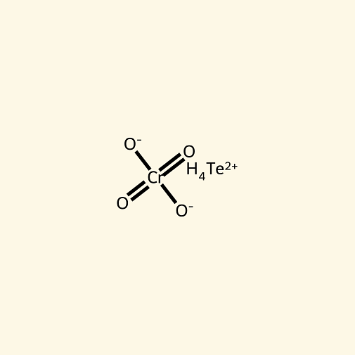 [O]=[Cr](=[O])([O-])[O-].[TeH4+2]